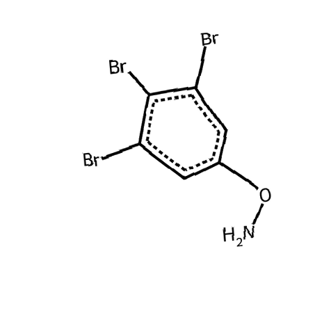 NOc1cc(Br)c(Br)c(Br)c1